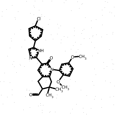 COc1ccc(OC)c(-n2c3c(cc(-c4ncc(-c5ccc(Cl)cc5)[nH]4)c2=O)CC(C=O)C(C)(C)C3)c1